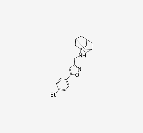 CCc1ccc(-c2cc(CNC34CC5CC(CC(C5)C3)C4)no2)cc1